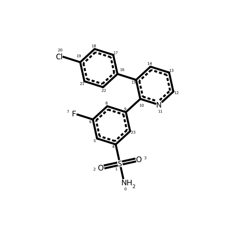 NS(=O)(=O)c1cc(F)cc(-c2ncccc2-c2ccc(Cl)cc2)c1